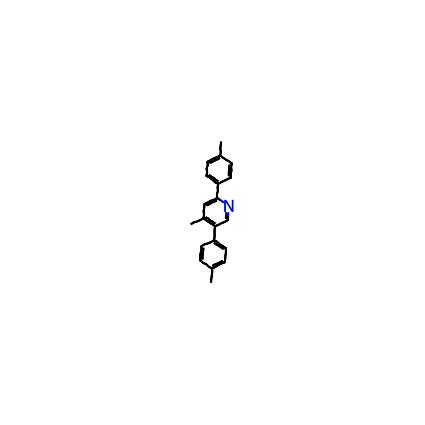 Cc1ccc(-c2cc(C)c(-c3ccc(C)cc3)cn2)cc1